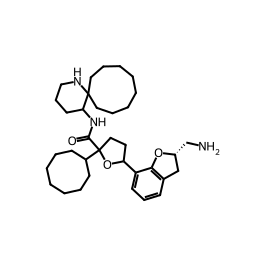 NC[C@@H]1Cc2cccc(C3CCC(C(=O)NC4CCCNC45CCCCCCCC5)(C4CCCCCCC4)O3)c2O1